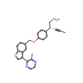 CC#C[C@@H](CC(=O)O)c1ccc(OCc2ccc3scc(-c4nccnc4C)c3c2)cc1